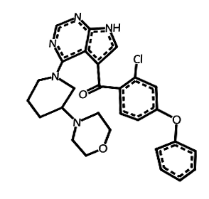 O=C(c1ccc(Oc2ccccc2)cc1Cl)c1c[nH]c2ncnc(N3CCCC(N4CCOCC4)C3)c12